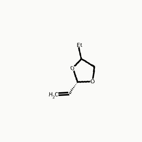 C=C[C@H]1OCC(CC)O1